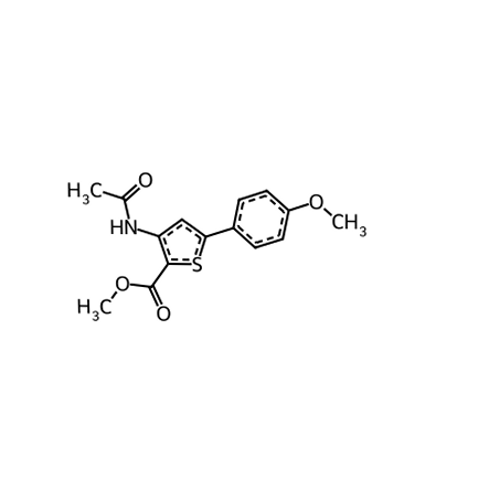 COC(=O)c1sc(-c2ccc(OC)cc2)cc1NC(C)=O